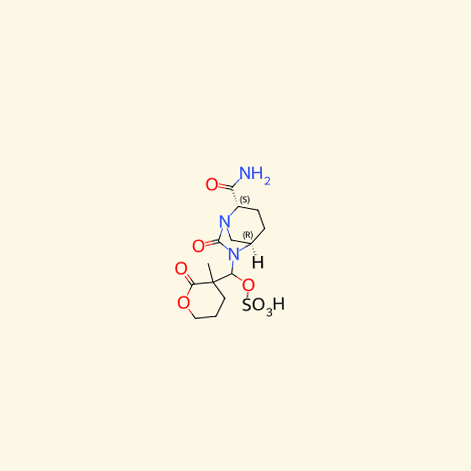 CC1(C(OS(=O)(=O)O)N2C(=O)N3C[C@H]2CC[C@H]3C(N)=O)CCCOC1=O